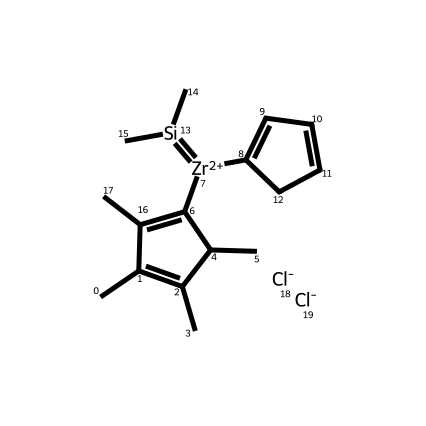 CC1=C(C)C(C)[C]([Zr+2]([C]2=CC=CC2)=[Si](C)C)=C1C.[Cl-].[Cl-]